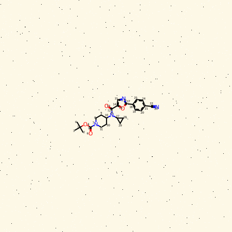 CC(C)(C)OC(=O)N1CCC(N(C(=O)c2cnc(-c3ccc(C#N)cc3)o2)C2CC2)CC1